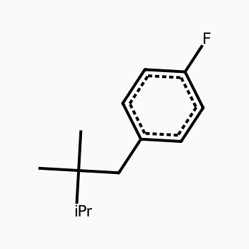 CC(C)C(C)(C)Cc1ccc(F)cc1